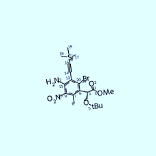 COC(=O)[C@@H](OC(C)(C)C)c1c(C)c([N+](=O)[O-])c(N)c(C#C[Si](C)(C)C)c1Br